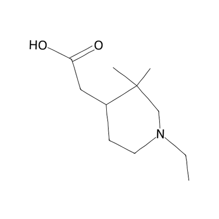 CCN1CCC(CC(=O)O)C(C)(C)C1